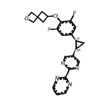 Fc1cc([C@H]2C[C@H]2c2cnc(-c3ncccn3)nc2)cc(F)c1OC1CC2(COC2)C1